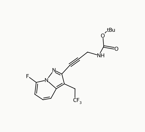 CC(C)(C)OC(=O)NCC#Cc1nn2c(F)cccc2c1CC(F)(F)F